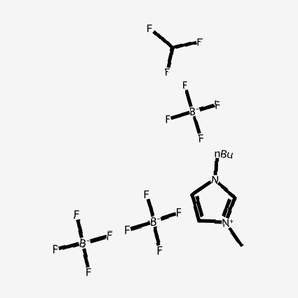 CCCCn1cc[n+](C)c1.FC(F)F.F[B-](F)(F)F.F[B-](F)(F)F.F[B-](F)(F)F